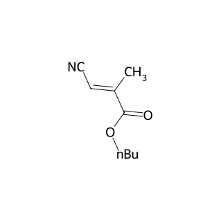 CCCCOC(=O)C(C)=CC#N